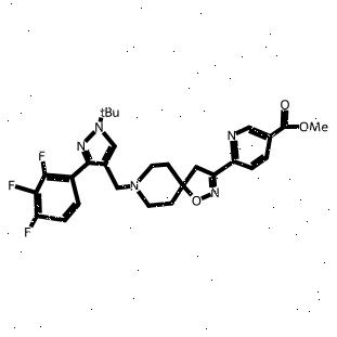 COC(=O)c1ccc(C2=NOC3(CCN(Cc4cn(C(C)(C)C)nc4-c4ccc(F)c(F)c4F)CC3)C2)nc1